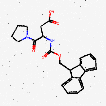 O=C(O)CC(NC(=O)OCC1c2ccccc2-c2ccccc21)C(=O)N1CCCC1